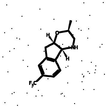 C[C@H]1CN[C@H]2c3ccc(C(F)(F)F)cc3C[C@H]2O1